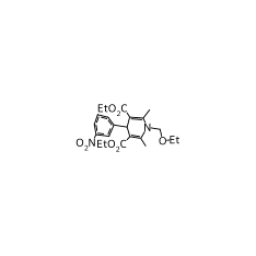 CCOCN1C(C)=C(C(=O)OCC)C(c2cccc([N+](=O)[O-])c2)C(C(=O)OCC)=C1C